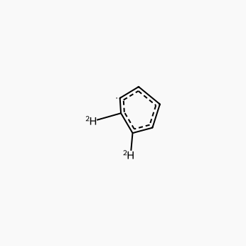 [2H]c1[c]cccc1[2H]